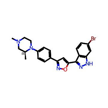 C[C@H]1CN(C)CCN1c1ccc(-c2cc(-c3n[nH]c4cc(Br)ccc34)on2)cc1